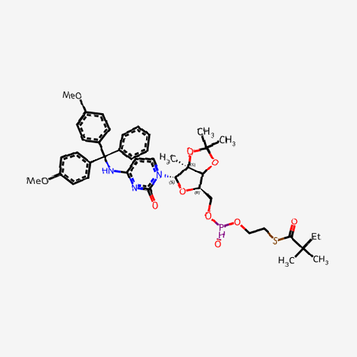 CCC(C)(C)C(=O)SCCO[PH](=O)OC[C@H]1O[C@H](n2ccc(NC(c3ccccc3)(c3ccc(OC)cc3)c3ccc(OC)cc3)nc2=O)[C@@]2(C)OC(C)(C)OC12